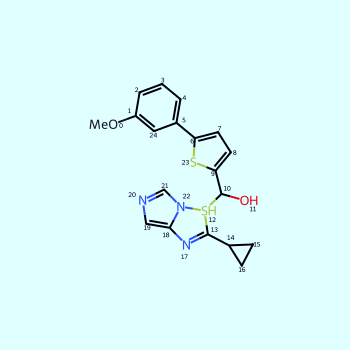 COc1cccc(-c2ccc(C(O)[SH]3C(C4CC4)=Nc4cncn43)s2)c1